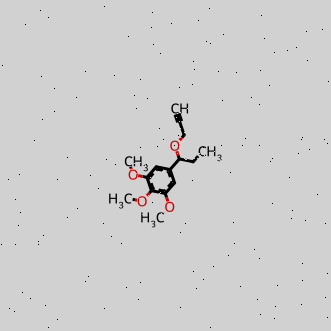 C#CCOC(CC)c1cc(OC)c(OC)c(OC)c1